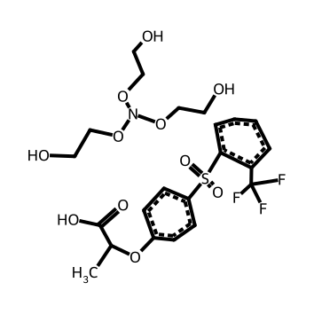 CC(Oc1ccc(S(=O)(=O)c2ccccc2C(F)(F)F)cc1)C(=O)O.OCCON(OCCO)OCCO